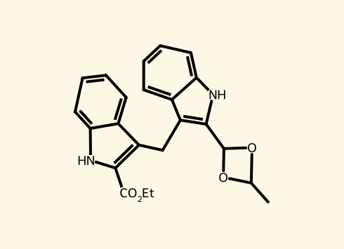 CCOC(=O)c1[nH]c2ccccc2c1Cc1c(C2OC(C)O2)[nH]c2ccccc12